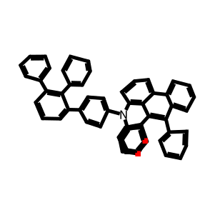 c1ccc(-c2cccc(-c3ccc(N(c4ccccc4)c4cccc5c4c(-c4ccccc4)c(-c4ccccc4)c4ccccc45)cc3)c2-c2ccccc2)cc1